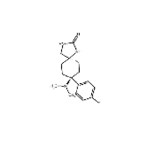 CN(C)[C@]1(c2ccc(F)cc2)CC[C@]2(CC1)CNC(=O)N2